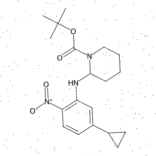 CC(C)(C)OC(=O)N1CCCCC1Nc1cc(C2CC2)ccc1[N+](=O)[O-]